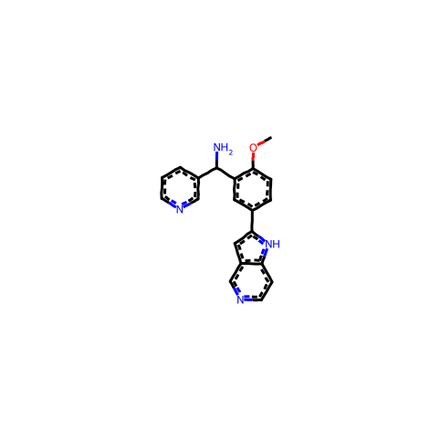 COc1ccc(-c2cc3cnccc3[nH]2)cc1C(N)c1cccnc1